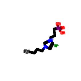 CCCCn1cc[n+](CCCP(=O)(O)O)c1.[Br-]